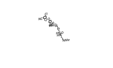 CNCCCCNC(=O)NCCOCCN1CC[C@@H](NS(=O)(=O)c2ccc(O[C@@H]3CCc4c(C#N)cc(Cl)cc43)cc2)C1